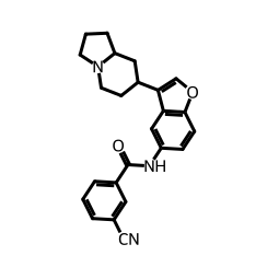 N#Cc1cccc(C(=O)Nc2ccc3occ(C4CCN5CCCC5C4)c3c2)c1